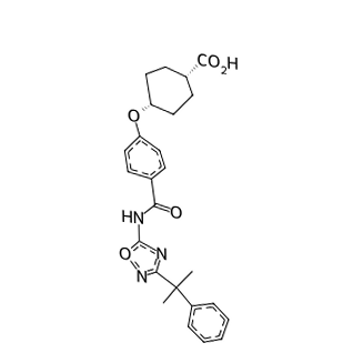 CC(C)(c1ccccc1)c1noc(NC(=O)c2ccc(O[C@H]3CC[C@@H](C(=O)O)CC3)cc2)n1